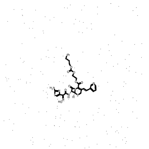 CC(C)CCCOC(=O)OCCOC(=O)C1=C(C=Cc2cccnc2)CS[C@H]2[C@H](NC(=O)C(=NO)c3csc(N)n3)C(=O)N12